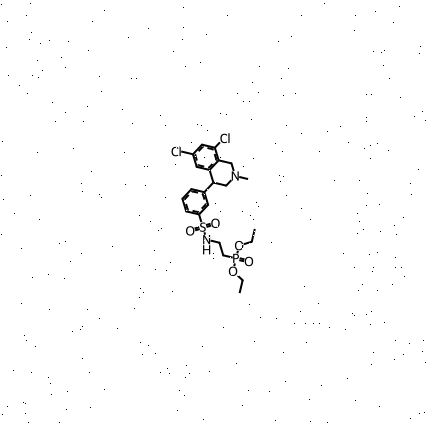 CCOP(=O)(CCNS(=O)(=O)c1cccc(C2CN(C)Cc3c(Cl)cc(Cl)cc32)c1)OCC